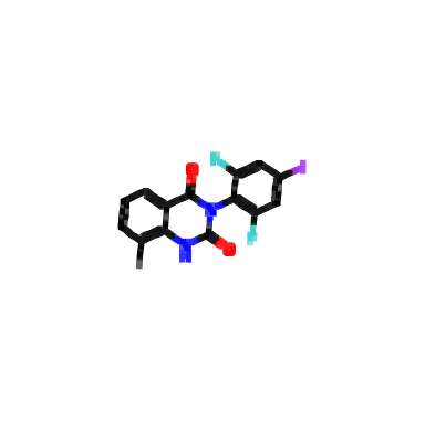 Cc1cccc2c(=O)n(-c3c(F)cc(I)cc3F)c(=O)[nH]c12